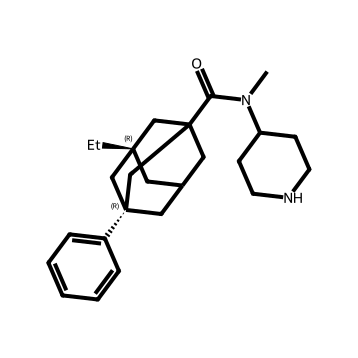 CC[C@]12CC3CC(C(=O)N(C)C4CCNCC4)(C1)C[C@@](c1ccccc1)(C3)C2